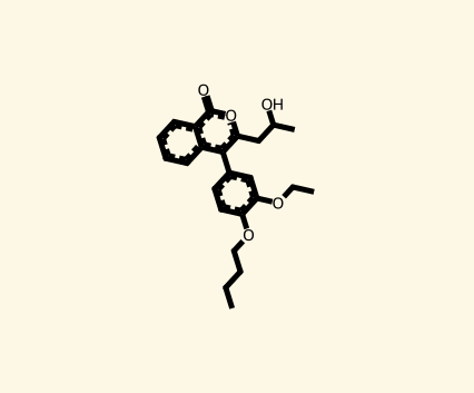 CCCCOc1ccc(-c2c(CC(C)O)oc(=O)c3ccccc23)cc1OCC